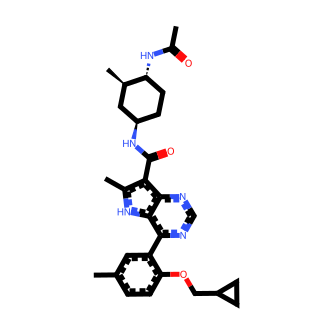 CC(=O)N[C@@H]1CC[C@@H](NC(=O)c2c(C)[nH]c3c(-c4cc(C)ccc4OCC4CC4)ncnc23)C[C@H]1C